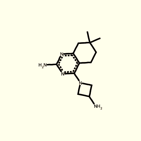 CC1(C)CCc2c(nc(N)nc2N2CC(N)C2)C1